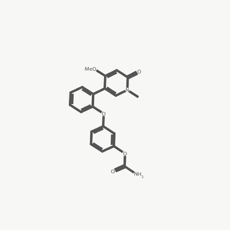 COc1cc(=O)n(C)cc1-c1ccccc1Oc1cccc(OC(N)=O)c1